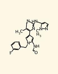 Cc1cnc(Nc2ccnn2C)nc1-c1cc(NC=O)n(Cc2cccc(F)c2)c1